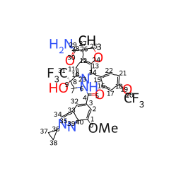 COc1cc(C(=O)NC[C@@](O)(c2cc3c(c(-c4ccc(OC(F)(F)F)cc4)n2)OC[C@]3(C)C(N)=O)C(F)(F)F)cc2cn(C3CC3)nc12